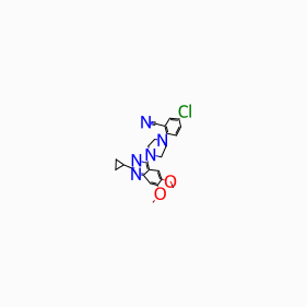 COc1cc2nc(C3CC3)nc(N3CCN(c4ccc(Cl)cc4C#N)CC3)c2cc1OC